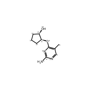 Cc1cnc(N)nc1O[C@H]1CCC[C@H]1O